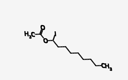 CCCCCCCCC(I)OC(C)=O